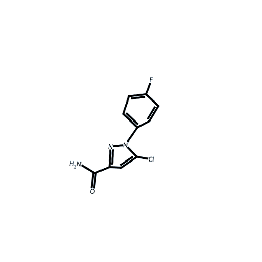 NC(=O)c1cc(Cl)n(-c2ccc(F)cc2)n1